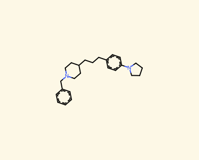 c1ccc(CN2CCC(CCCc3ccc(N4CCCC4)cc3)CC2)cc1